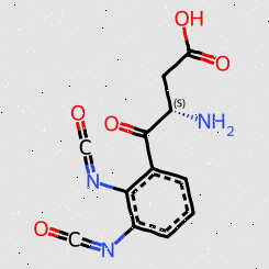 N[C@@H](CC(=O)O)C(=O)c1cccc(N=C=O)c1N=C=O